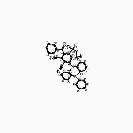 N#Cc1c(C#N)c(N2c3ccccc3N(c3ccccc3)c3ccccc32)c2c(c1C(=O)c1ccccc1)C(F)(F)CC2(F)F